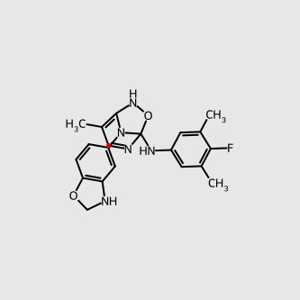 CC1=C2NOC(Nc3cc(C)c(F)c(C)c3)(N=C1)N2c1ccc2c(c1)NCO2